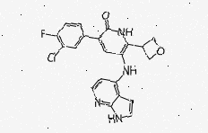 O=c1[nH]c(C2COC2)c(Nc2ccnc3[nH]ccc23)cc1-c1ccc(F)c(Cl)c1